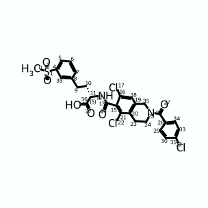 CS(=O)(=O)c1cccc(CC[C@H](NC(=O)c2c(Cl)cc3c(c2Cl)CCN(C(=O)c2ccc(Cl)cc2)C3)C(=O)O)c1